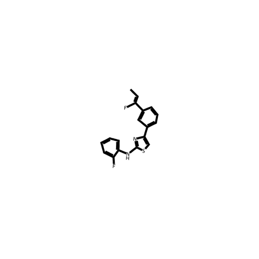 C/C=C(\F)c1cccc(-c2csc(Nc3ccccc3F)n2)c1